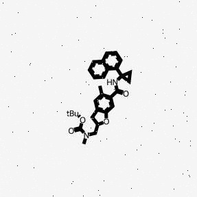 Cc1cc2c(cc1C(=O)NC1(c3cccc4ccccc34)CC1)OC(CN(C)C(=O)OC(C)(C)C)C2